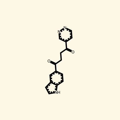 O=C(CCC(=O)c1ccc2[nH]ccc2c1)c1ccnnc1